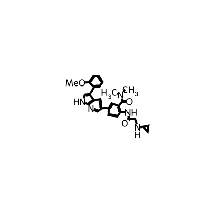 COc1ccccc1-c1c[nH]c2ncc(-c3ccc(NC(=O)CNC4CC4)c(C(=O)N(C)C)c3)cc12